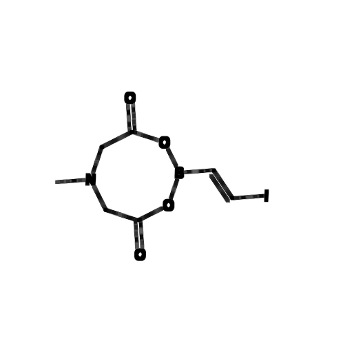 CN1CC(=O)OB(/C=C/I)OC(=O)C1